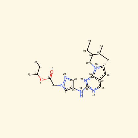 CCC(C)OC(=O)Cn1cc(Nc2ncc3ccn(CC(CC)C(C)C)c3n2)cn1